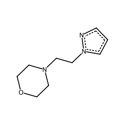 c1cnn(CCN2CCOCC2)c1